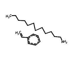 C=Cc1ccccc1.CCCCCCCCCCCCN